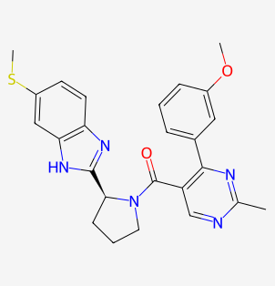 COc1cccc(-c2nc(C)ncc2C(=O)N2CCC[C@H]2c2nc3ccc(SC)cc3[nH]2)c1